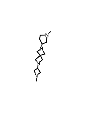 CN1CCC(N2CC3(C2)CN(C2CN(C)C2)C3)C1